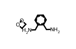 C1COO1.NCc1ccccc1CN